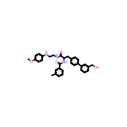 COc1ccc(NCCNC(=O)C(Cc2ccc(-c3cccc(CO)c3)cc2)NC(=O)c2cccc(C)c2)cc1